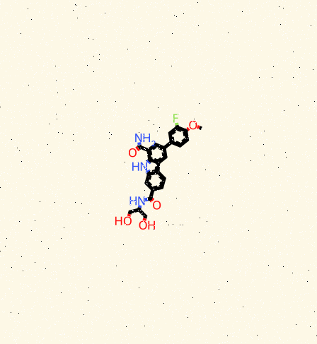 COc1ccc(-c2cc(C(N)=O)c3[nH]c4cc(C(=O)NC(CO)CO)ccc4c3c2)cc1F